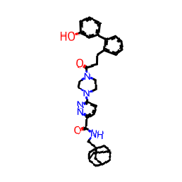 O=C(NCC12CC3CC(CC(C3)C1)C2)c1ccc(N2CCN(C(=O)CCc3ccccc3-c3cccc(O)c3)CC2)nn1